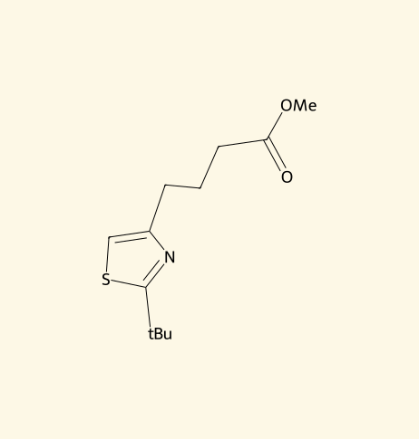 COC(=O)CCCc1csc(C(C)(C)C)n1